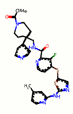 COC(=O)N1CCC(CNC(=O)c2nccc(Sc3cnc(Nc4cc(C)ccn4)s3)c2F)(c2ccncc2)CC1